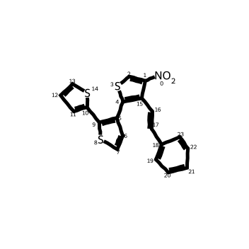 O=[N+]([O-])c1csc(-c2ccsc2-c2cccs2)c1C=Cc1ccccc1